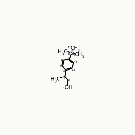 CC(CO)c1ccc([Si](C)(C)C)cc1